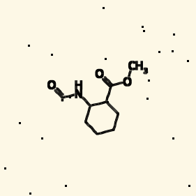 COC(=O)C1CCCCC1N[C]=O